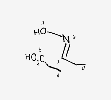 C/C=N/O.CC(=O)O